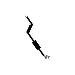 [CH2]C=CC#CCCC